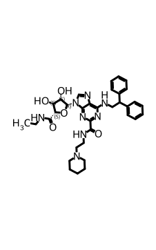 CCNC(=O)[C@H]1O[C@@H](n2cnc3c(NCC(c4ccccc4)c4ccccc4)nc(C(=O)NCCN4CCCCC4)nc32)[C@@H](O)[C@@H]1O